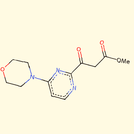 COC(=O)CC(=O)c1nccc(N2CCOCC2)n1